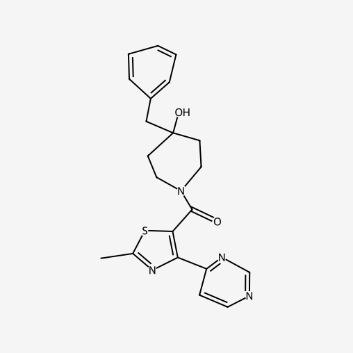 Cc1nc(-c2ccncn2)c(C(=O)N2CCC(O)(Cc3ccccc3)CC2)s1